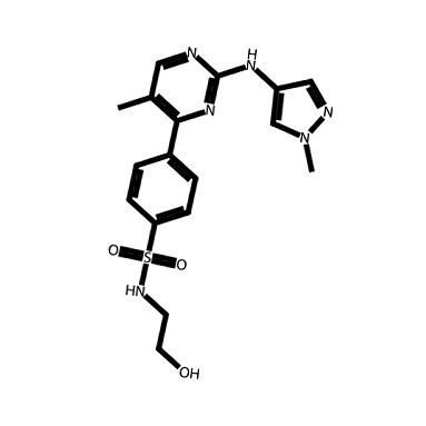 Cc1cnc(Nc2cnn(C)c2)nc1-c1ccc(S(=O)(=O)NCCO)cc1